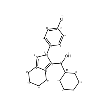 OC(c1c2c(nn1-c1ccc(Cl)cc1)CCCC2)C1CCCCC1